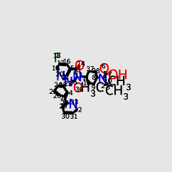 CC(C)(C)N(C(=O)O)C1CCC(n2c(=O)c3cc(F)cnc3n(-c3cccc(-c4ccccn4)c3)c2=O)CC1